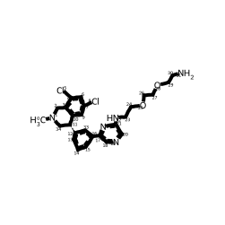 CN1Cc2c(Cl)cc(Cl)cc2[C@H](c2cccc(-c3cncc(NCCOCCOCCN)n3)c2)C1